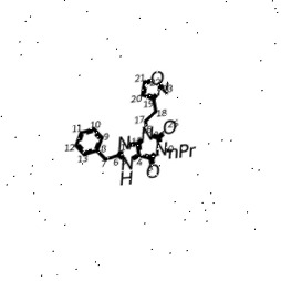 CCCn1c(=O)c2[nH]c(Cc3ccccc3)nc2n(CCc2ccon2)c1=O